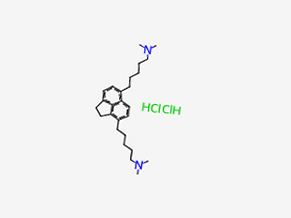 CN(C)CCCCCc1ccc2c(CCCCCN(C)C)ccc3c2c1CC3.Cl.Cl